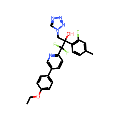 CCOc1ccc(-c2ccc(C(F)(F)C(O)(Cn3cnnn3)c3ccc(C)cc3F)nc2)cc1